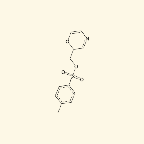 Cc1ccc(S(=O)(=O)OCC2C=NC=CO2)cc1